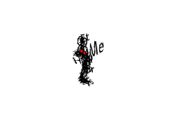 CCS(=O)(=O)CCOC(C)C1(c2cc3c(Nc4ccc(OCc5cccc(F)c5)c(Br)c4)ncnc3cc2OC)CC=CO1